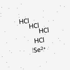 Cl.Cl.Cl.Cl.[Se+2]